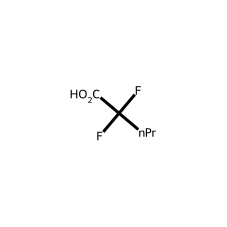 CCCC(F)(F)C(=O)O